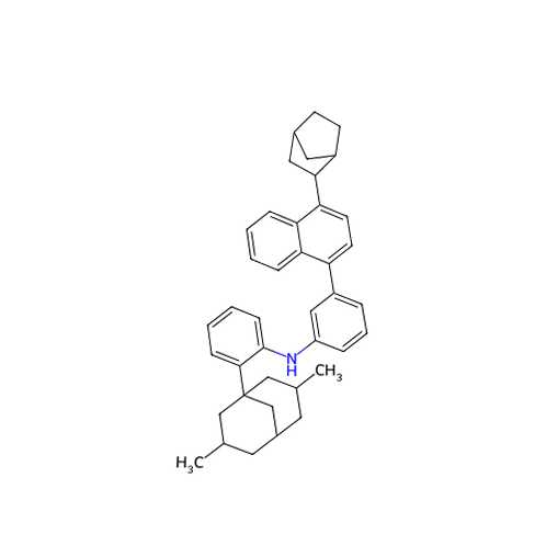 CC1CC2CC(C)CC(c3ccccc3Nc3cccc(-c4ccc(C5CC6CCC5C6)c5ccccc45)c3)(C1)C2